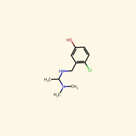 CC(NCc1cc(O)ccc1Cl)N(C)C